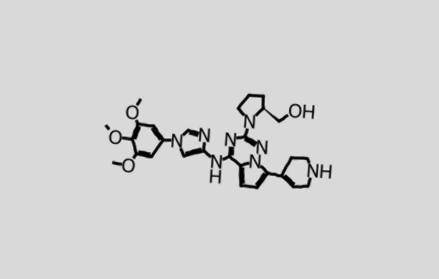 COc1cc(-n2cnc(Nc3nc(N4CCC[C@H]4CO)nn4c(C5=CCNCC5)ccc34)c2)cc(OC)c1OC